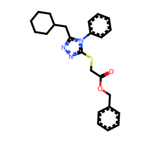 O=C(CSc1nnc(CC2CCCCC2)n1-c1ccccc1)OCc1ccccc1